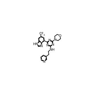 FC(F)(F)c1cc(-c2nc(NCCc3cccnc3)nc(N3CCOCC3)n2)c2nc[nH]c2c1